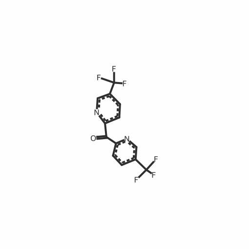 O=C(c1ccc(C(F)(F)F)cn1)c1ccc(C(F)(F)F)cn1